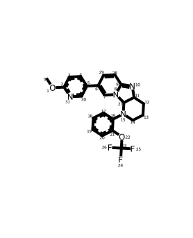 COc1ccc(C2=CN3C(=NC4CCCN(c5ccccc5OC(F)(F)F)C43)C=C2)cn1